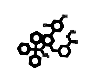 CC(C)(C)OC(=O)N1CCCC(Cc2cc(-c3ccc(O)cc3Cl)ccc2N(N)C(c2ccccc2)(c2ccccc2)c2ccccc2)C1